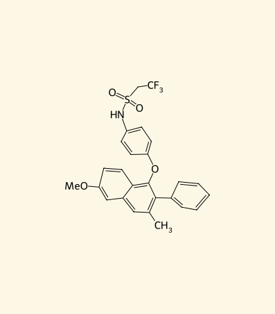 COc1ccc2c(Oc3ccc(NS(=O)(=O)CC(F)(F)F)cc3)c(-c3ccccc3)c(C)cc2c1